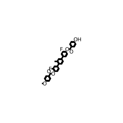 COc1ccc(C(=O)Oc2ccc(-c3ccc(-c4ccc(OC(=O)c5ccc(O)cc5)c(F)c4)cc3C)cc2F)cc1